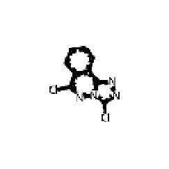 Clc1nn2c(Cl)nnc2c2ccccc12